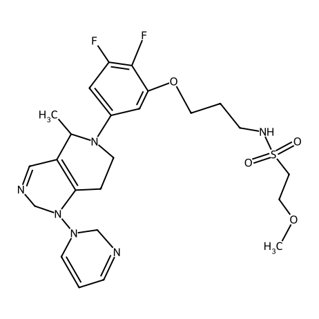 COCCS(=O)(=O)NCCCOc1cc(N2CCC3=C(C=NCN3N3C=CC=NC3)C2C)cc(F)c1F